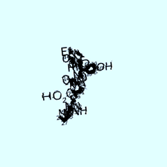 CCN1CCN(C(=O)NC(C(=O)NC2C(=O)N3C(C(=O)O)=C(CSc4n[nH]c(-n5cccn5)n4)CS[C@H]23)c2ccc(O)cc2)C(=O)C1=O